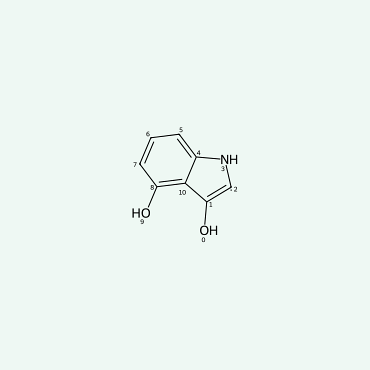 Oc1[c][nH]c2cccc(O)c12